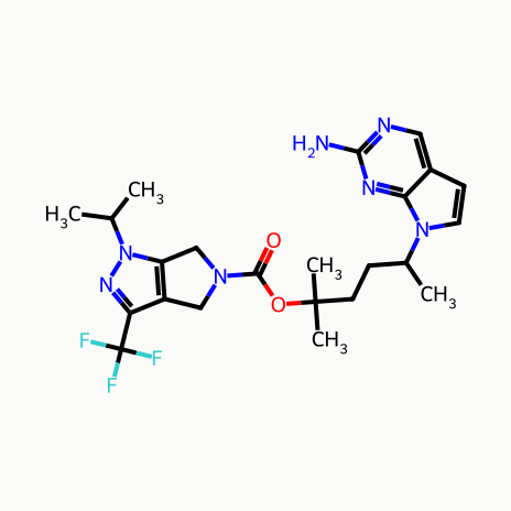 CC(C)n1nc(C(F)(F)F)c2c1CN(C(=O)OC(C)(C)CCC(C)n1ccc3cnc(N)nc31)C2